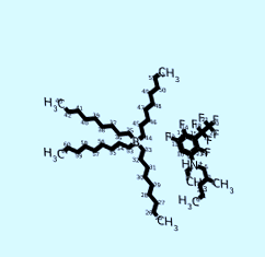 CCCC(C)C[NH+](CC)c1cc(F)c(F)c(C(F)(F)C(F)(F)F)c1F.CCCCCCCCC[B-](CCCCCCCCC)(CCCCCCCCC)CCCCCCCCC